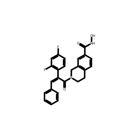 O=C(NO)c1ccc2c(c1)CN(C(=O)/C(=C\c1ccccc1)c1ccc(F)cc1F)CC2